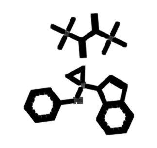 C1=C[CH]([Ti]2([PH]c3ccccc3)[CH2][CH2]2)c2ccccc21.C=C(C(=C)[Si](C)(C)C)[Si](C)(C)C